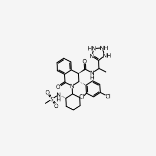 CC(NC(=O)[C@@H]1c2ccccc2C(=O)N(C2CCCC[C@@H]2NS(C)(=O)=O)[C@H]1c1ccc(Cl)cc1Cl)C1=NNNN1